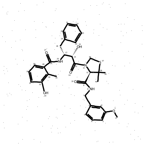 COc1cccc(CNC(=O)[C@H]2N(C(=O)[C@@H](O)[C@@H](Cc3ccccc3)NC(=O)c3cccc(O)c3C)CSC2(C)C)c1